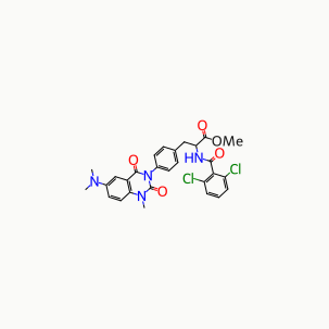 COC(=O)C(Cc1ccc(-n2c(=O)c3cc(N(C)C)ccc3n(C)c2=O)cc1)NC(=O)c1c(Cl)cccc1Cl